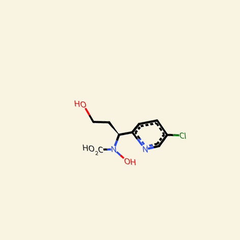 O=C(O)N(O)[C@@H](CCO)c1ccc(Cl)cn1